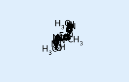 Cc1cc(Nc2ncnc3cnc([S+](C)[O-])nc23)c(F)cc1Oc1ccc2c(c1)nnn2C